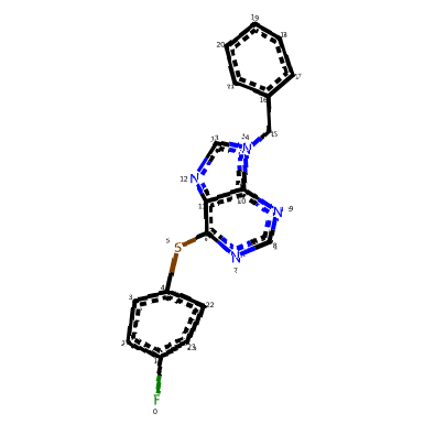 Fc1ccc(Sc2ncnc3c2ncn3Cc2ccccc2)cc1